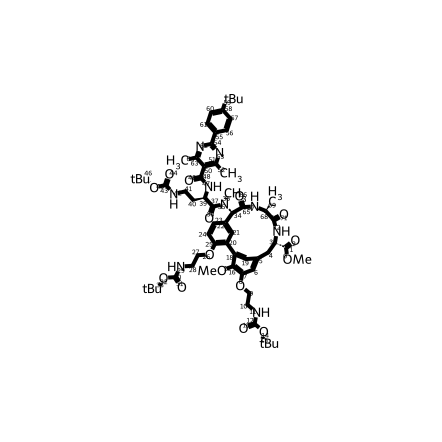 COC(=O)[C@@H]1Cc2cc(OCCNC(=O)OC(C)(C)C)c(OC)c(c2)-c2cc(ccc2OCCNC(=O)OC(C)(C)C)[C@H](N(C)C(=O)[C@@H](CCNC(=O)OC(C)(C)C)NC(=O)c2c(C)nc(-c3ccc(C(C)(C)C)cc3)nc2C)C(=O)N[C@H](C)C(=O)N1